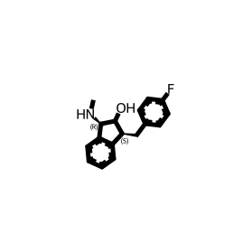 CN[C@@H]1c2ccccc2[C@H](Cc2ccc(F)cc2)C1O